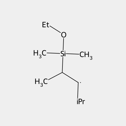 CCO[Si](C)(C)C(C)[CH]C(C)C